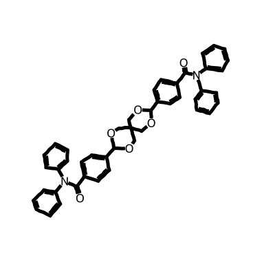 O=C(c1ccc(C2OCC3(CO2)COC(c2ccc(C(=O)N(c4ccccc4)c4ccccc4)cc2)OC3)cc1)N(c1ccccc1)c1ccccc1